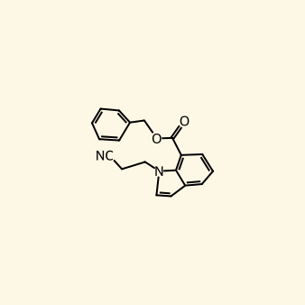 N#CCCn1ccc2cccc(C(=O)OCc3ccccc3)c21